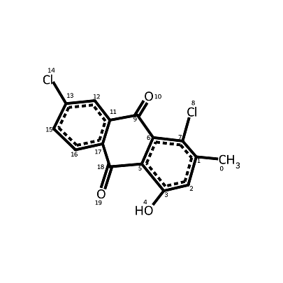 Cc1cc(O)c2c(c1Cl)C(=O)c1cc(Cl)ccc1C2=O